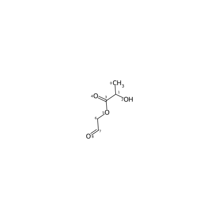 CC(O)C(=O)OCC=O